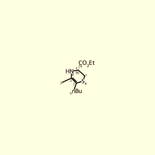 CCCCC1=C(C)N[C@H](C(=O)OCC)CS1